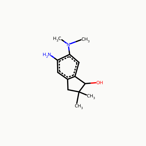 CN(C)c1cc2c(cc1N)CC(C)(C)C2O